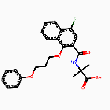 CC(C)(NC(=O)c1cc(F)c2ccccc2c1OCCCOc1ccccc1)C(=O)O